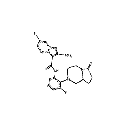 Nc1nn2cc(F)cnc2c1C(=O)Nc1cncc(F)c1N1CCN2C(=O)CCC2C1